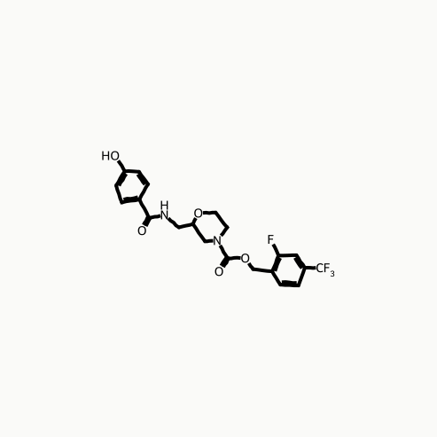 O=C(NCC1CN(C(=O)OCc2ccc(C(F)(F)F)cc2F)CCO1)c1ccc(O)cc1